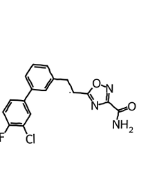 NC(=O)c1noc([CH]Cc2cccc(-c3ccc(F)c(Cl)c3)c2)n1